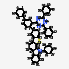 c1ccc(-c2ccc(-c3ccc4sc5c(ccc6c7ccccc7n(-c7ccccc7)c65)c4c3)c(-c3nc(-c4ccccc4)nc(-c4ccccc4)n3)c2)cc1